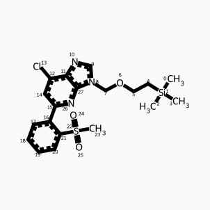 C[Si](C)(C)CCOCn1cnc2c(Cl)cc(-c3ccccc3S(C)(=O)=O)nc21